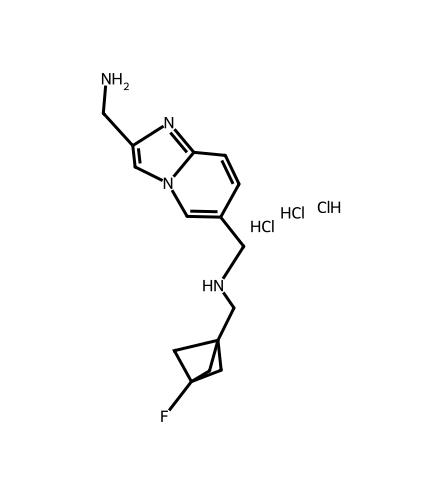 Cl.Cl.Cl.NCc1cn2cc(CNCC34CC(F)(C3)C4)ccc2n1